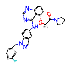 C[C@H](Oc1cccc2ncnc(Nc3ccc4c(cnn4Cc4cccc(F)c4)c3)c12)C(=O)N1CCCC1